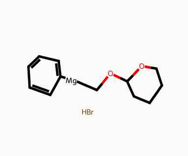 Br.c1cc[c]([Mg][CH2]OC2CCCCO2)cc1